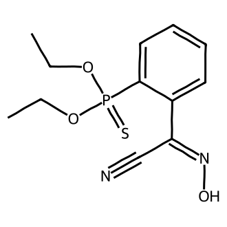 CCOP(=S)(OCC)c1ccccc1C(C#N)=NO